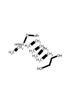 C=C.C=C.C=C.C=C.C=C.CCCCCCCOCCC.OCCO